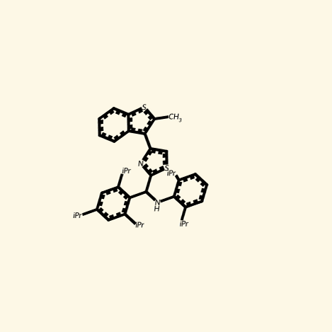 Cc1sc2ccccc2c1-c1csc(C(Nc2c(C(C)C)cccc2C(C)C)c2c(C(C)C)cc(C(C)C)cc2C(C)C)n1